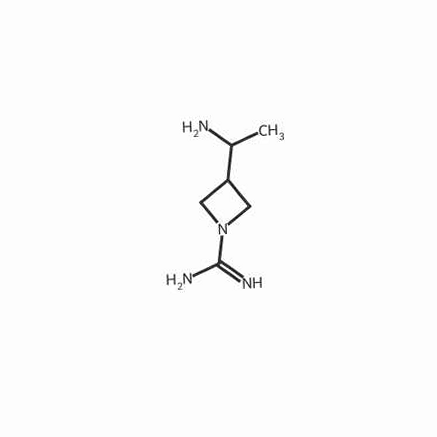 CC(N)C1CN(C(=N)N)C1